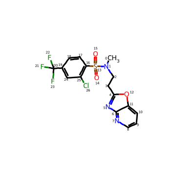 CN(CCc1nc2ncccc2o1)S(=O)(=O)c1ccc(C(F)(F)F)cc1Cl